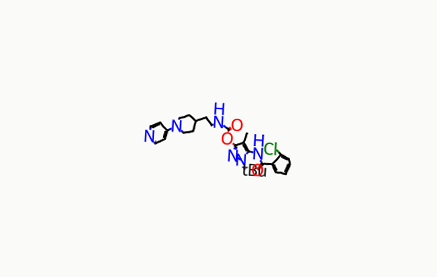 Cc1c(OC(=O)NCCC2CCN(c3ccncc3)CC2)nn(C(C)(C)C)c1NC(=O)c1ccccc1Cl